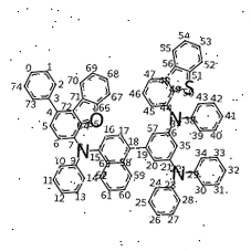 c1ccc(-c2ccc(N(c3ccccc3)c3ccc(-c4cc(N(c5ccccc5)c5ccccc5)cc(N(c5ccccc5)c5cccc6c5sc5ccccc56)c4)c4ccccc34)c3oc4ccccc4c23)cc1